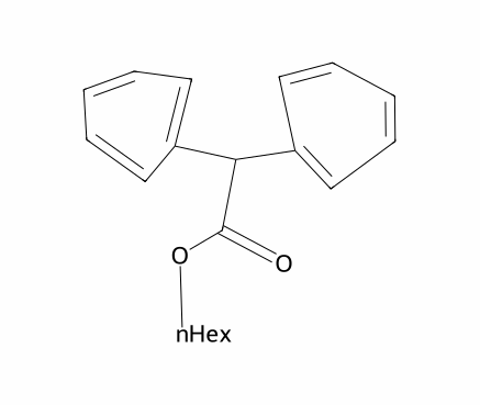 [CH2]CCCCCOC(=O)C(c1ccccc1)c1ccccc1